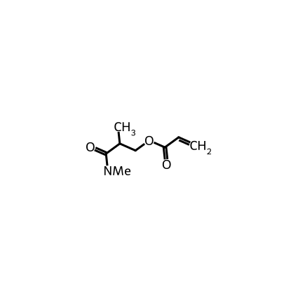 C=CC(=O)OCC(C)C(=O)NC